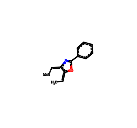 C/C=c1/oc(-c2ccccc2)n/c1=C/NC